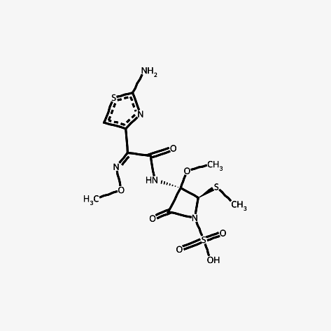 CO/N=C(\C(=O)N[C@@]1(OC)C(=O)N(S(=O)(=O)O)[C@@H]1SC)c1csc(N)n1